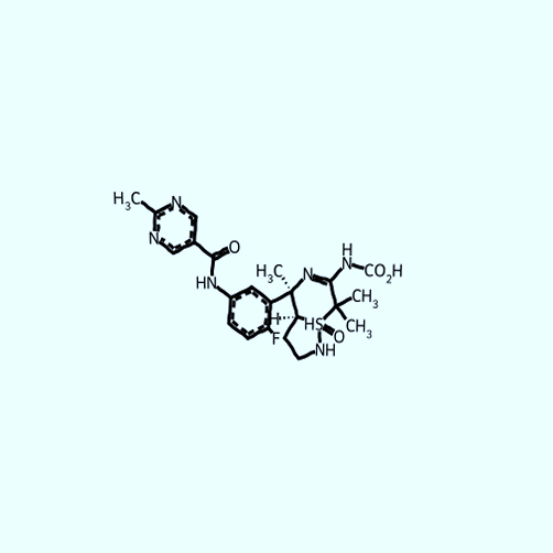 Cc1ncc(C(=O)Nc2ccc(F)c([C@@]3(C)N=C(NC(=O)O)C(C)(C)[SH]4(=O)NCC[C@@H]34)c2)cn1